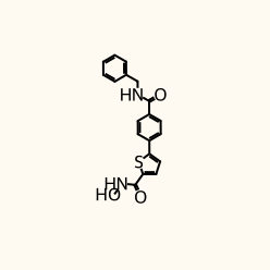 O=C(NCc1ccccc1)c1ccc(-c2ccc(C(=O)NO)s2)cc1